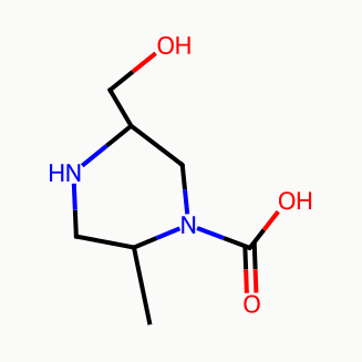 CC1CNC(CO)CN1C(=O)O